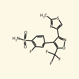 Cc1nc(-c2noc(C(F)(F)F)c2-c2ccc(S(N)(=O)=O)c(F)c2)cs1